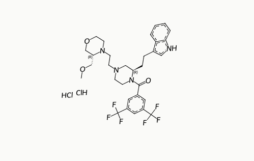 COC[C@@H]1COCCN1CCN1CCN(C(=O)c2cc(C(F)(F)F)cc(C(F)(F)F)c2)[C@H](CCc2c[nH]c3ccccc23)C1.Cl.Cl